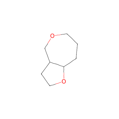 C1COCC2CCOC2C1